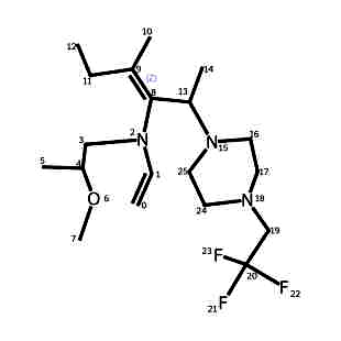 C=CN(CC(C)OC)/C(=C(/C)CC)C(C)N1CCN(CC(F)(F)F)CC1